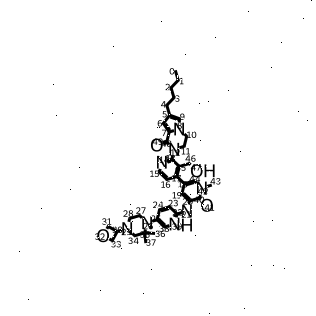 CCCCCc1cc2n(c1)CCN(c1nccc(-c3cc(Nc4ccc(N5CCN(C6COC6)CC5(C)C)cn4)c(=O)n(C)c3)c1CO)C2=O